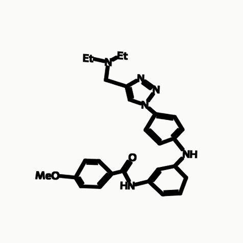 CCN(CC)Cc1cn(-c2ccc(NC3C=C(NC(=O)c4ccc(OC)cc4)C=CC3)cc2)nn1